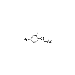 CC(=O)COc1ccc(C(C)C)cc1C